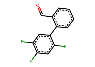 O=Cc1ccccc1-c1cc(F)c(F)cc1F